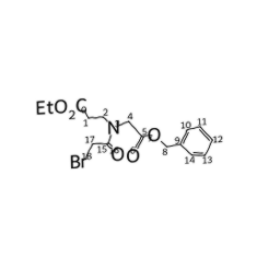 CCOC(=O)CCN(CC(=O)OCc1ccccc1)C(=O)CBr